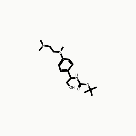 CN(C)CCN(C)c1ccc(C(CO)NC(=O)OC(C)(C)C)cc1